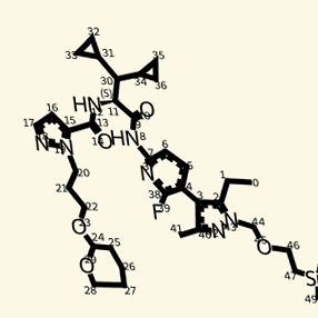 CCc1c(-c2ccc(NC(=O)[C@@H](NC(=O)c3ccnn3CCCOC3CCCCO3)C(C3CC3)C3CC3)nc2F)c(C)nn1COCC[Si](C)(C)C